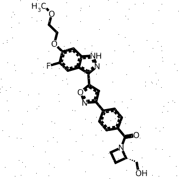 COCCOc1cc2[nH]nc(-c3cc(-c4ccc(C(=O)N5CC[C@H]5CO)cc4)no3)c2cc1F